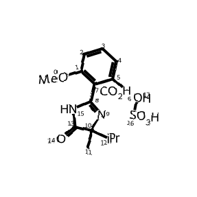 COc1cccc(C(=O)O)c1C1=NC(C)(C(C)C)C(=O)N1.O=S(=O)(O)O